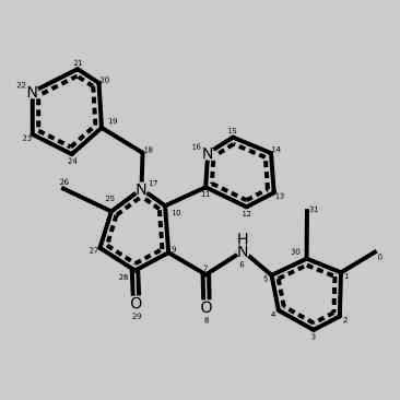 Cc1cccc(NC(=O)c2c(-c3ccccn3)n(Cc3ccncc3)c(C)cc2=O)c1C